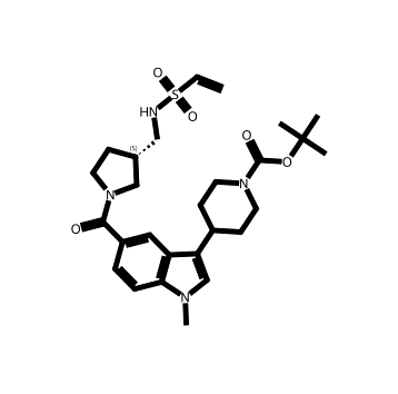 C=CS(=O)(=O)NC[C@H]1CCN(C(=O)c2ccc3c(c2)c(C2CCN(C(=O)OC(C)(C)C)CC2)cn3C)C1